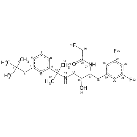 CC(C)(C)Cc1cccc(C(C)(C)NCC(O)C(Cc2cc(F)cc(F)c2)NC(=O)CF)c1